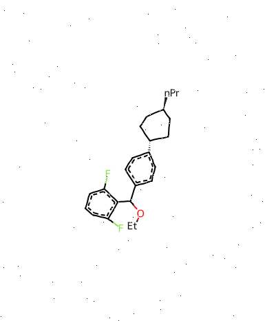 CCC[C@H]1CC[C@H](c2ccc(C(OCC)c3c(F)cccc3F)cc2)CC1